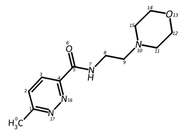 Cc1ccc(C(=O)NCCN2CCOCC2)nn1